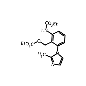 CCOC(=O)Nc1cccc(-n2ccnc2C)c1COC(=O)OCC